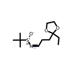 CCC1(CC/C=N\[S@@+]([O-])C(C)(C)C)OCCO1